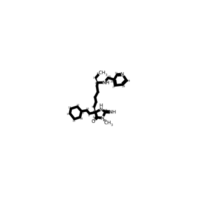 CC[C@H](CCCCC[C@@]1(CCC2CCCCC2)NC(=N)N(C)C1=O)NCc1cccnc1